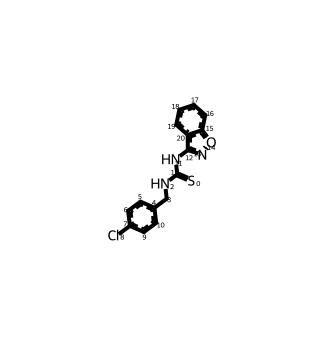 S=C(NCc1ccc(Cl)cc1)Nc1noc2ccccc12